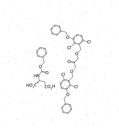 O=C(COCc1c(Cl)ccc(OCc2ccccc2)c1Cl)COCc1c(Cl)ccc(OCc2ccccc2)c1Cl.O=C(O)C[C@H](NC(=O)OCc1ccccc1)C(=O)O